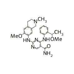 COc1cc2c(cc1Nc1ncc(C(N)=O)c(Nc3ccccc3C(C)OC)n1)CN(C)CC2